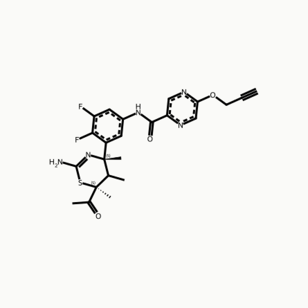 C#CCOc1cnc(C(=O)Nc2cc(F)c(F)c([C@@]3(C)N=C(N)S[C@](C)(C(C)=O)C3C)c2)cn1